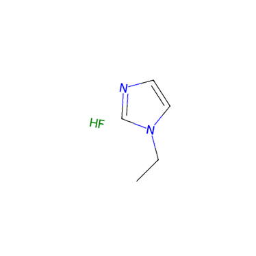 CCn1ccnc1.F